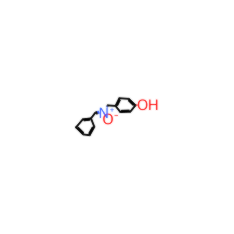 [O-][N+](=Cc1ccccc1)Cc1ccc(O)cc1